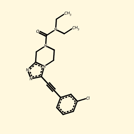 CCN(CC)C(=O)N1CCn2c(C#Cc3cccc(Cl)c3)nnc2C1